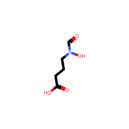 O=CN(O)CCCC(=O)O